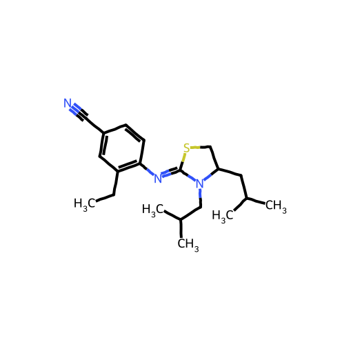 CCc1cc(C#N)ccc1/N=C1\SCC(CC(C)C)N1CC(C)C